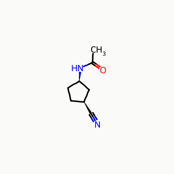 CC(=O)N[C@@H]1CC[C@H](C#N)C1